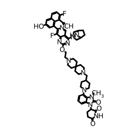 C#Cc1c(F)ccc2cc(O)cc(-c3ncc4c(N5CC6CCC(C5)N6)nc(OCCN5CCC6(CC5)CCN(CC5CCN(c7cccc8c7n(C)c(=O)n8C7CCC(=O)NC7=O)CC5)CC6)nc4c3F)c12